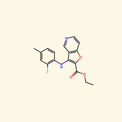 CCOC(=O)c1oc2ccncc2c1Nc1ccc(C)cc1F